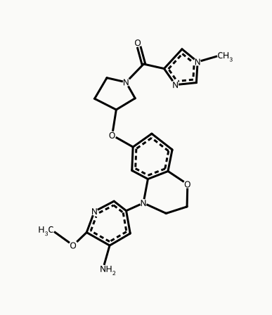 COc1ncc(N2CCOc3ccc(OC4CCN(C(=O)c5cn(C)cn5)C4)cc32)cc1N